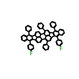 Fc1ccc(-c2c3c(c(-c4ccccc4)c4ccccc24)-c2ccc4c5c(-c6ccccc6)cc6c7c(cc(-c8ccccc8)c(c8ccc-3c2c48)c75)-c2c-6c(-c3ccccc3)c3ccccc3c2-c2ccc(F)cc2)cc1